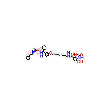 O=C(NC(c1cccc(OCCCCCCCCCNCC(O)c2ccc(O)c3[nH]c(=O)ccc23)c1)C1CCCCC1)O[C@H]1C[N+]2(CC(=O)c3ccccc3)CCC1CC2